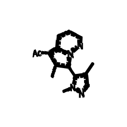 CC(=O)c1c(C)c(-c2c(C)cnn2C)n2ncccc12